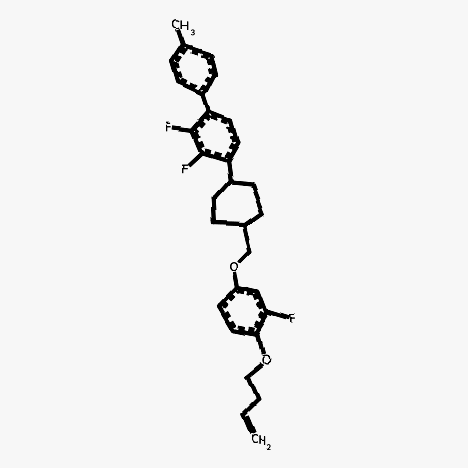 C=CCCOc1ccc(OCC2CCC(c3ccc(-c4ccc(C)cc4)c(F)c3F)CC2)cc1F